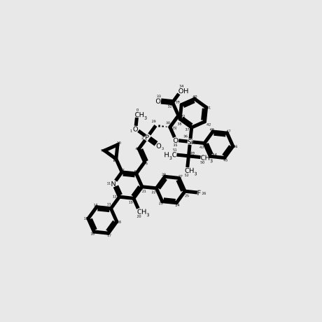 COP(=O)(C=Cc1c(C2CC2)nc(-c2ccccc2)c(C)c1-c1ccc(F)cc1)C[C@H](CC(=O)O)O[Si](c1ccccc1)(c1ccccc1)C(C)(C)C